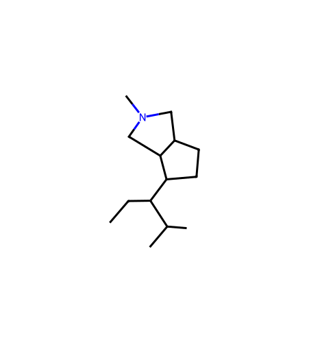 CCC(C(C)C)C1CCC2CN(C)CC21